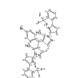 Cc1nn(-c2nc(-c3ccccc3C(F)(F)F)cs2)c(O)c1C(c1ccc(Br)cc1)c1c(C)nn(-c2nc(-c3ccccc3C(F)(F)F)cs2)c1O